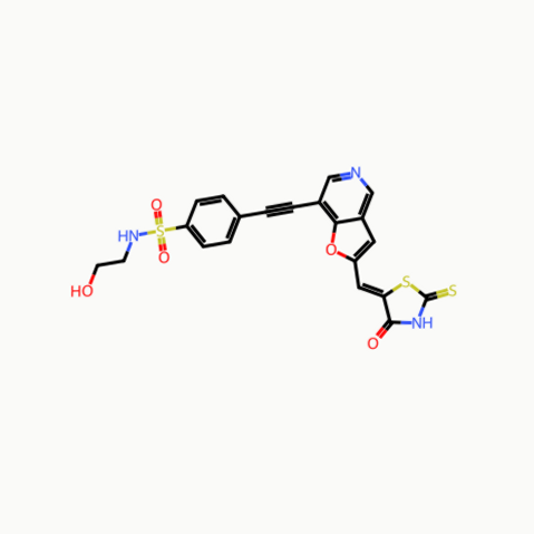 O=C1NC(=S)S/C1=C\c1cc2cncc(C#Cc3ccc(S(=O)(=O)NCCO)cc3)c2o1